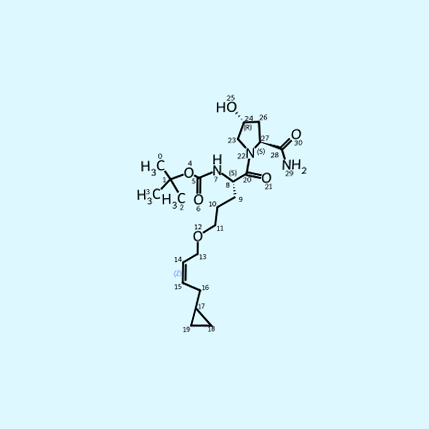 CC(C)(C)OC(=O)N[C@@H](CCCOC/C=C\CC1CC1)C(=O)N1C[C@H](O)C[C@H]1C(N)=O